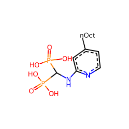 CCCCCCCCc1ccnc(NC(P(=O)(O)O)P(=O)(O)O)c1